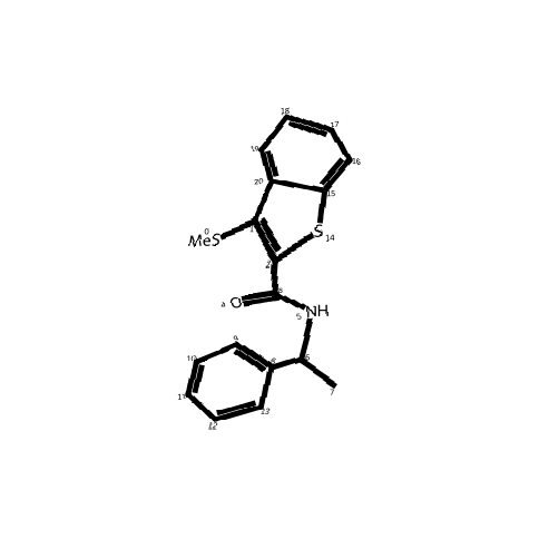 CSc1c(C(=O)NC(C)c2ccccc2)sc2ccccc12